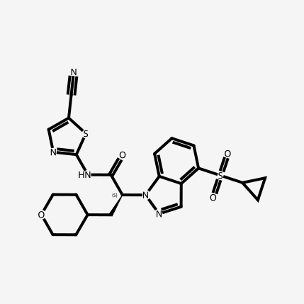 N#Cc1cnc(NC(=O)[C@H](CC2CCOCC2)n2ncc3c(S(=O)(=O)C4CC4)cccc32)s1